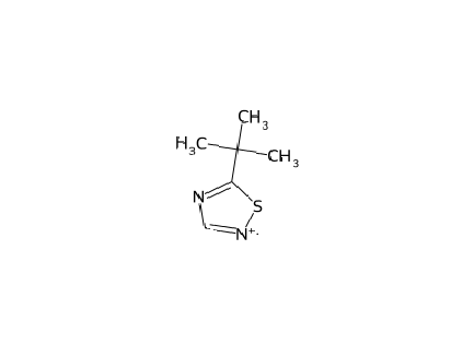 CC(C)(C)C1=NC=[N+]S1